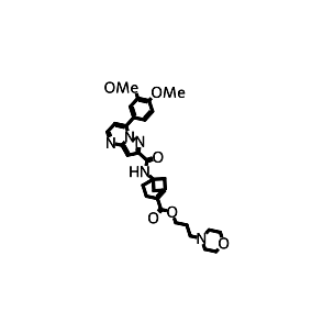 COc1ccc(-c2ccnc3cc(C(=O)NC45CCC(C(=O)OCCCN6CCOCC6)=C(C4)C5)nn23)cc1OC